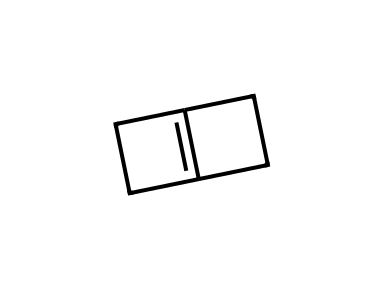 C1CC2=C1CC2